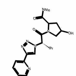 CNC(=O)C1CC(O)CN1C(=O)[C@H](C(C)C)n1cc(-c2ccccn2)nn1